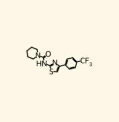 O=C(Nc1nc(-c2ccc(C(F)(F)F)cc2)cs1)N1CCCCC1